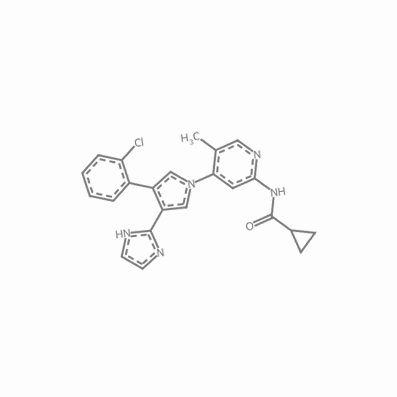 Cc1cnc(NC(=O)C2CC2)cc1-n1cc(-c2ncc[nH]2)c(-c2ccccc2Cl)c1